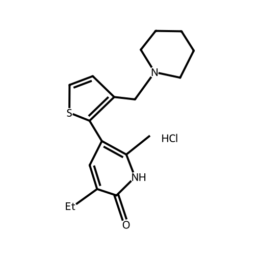 CCc1cc(-c2sccc2CN2CCCCC2)c(C)[nH]c1=O.Cl